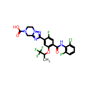 CC(Oc1cc(-c2nc3n(n2)CCN(C(=O)O)C3)c(F)cc1C(=O)Nc1c(F)cccc1Cl)C(F)(F)F